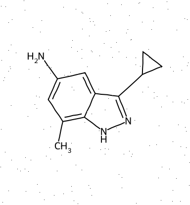 Cc1cc(N)cc2c(C3CC3)n[nH]c12